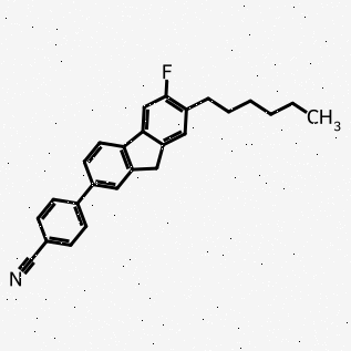 CCCCCCc1cc2c(cc1F)-c1ccc(-c3ccc(C#N)cc3)cc1C2